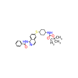 CC(C)(C)OC(=O)NC1CCC(Sc2ccc3c(NC(=O)c4ccccc4)nccc3c2)CC1